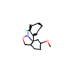 COC1CCC2CONC2(c2ccccc2F)C1